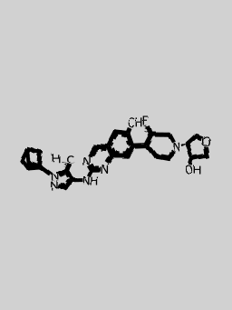 Cc1cc2cnc(Nc3cnn(C45CCC(C4)C5)c3C)nc2cc1C1CCN([C@@H]2COCC2O)CC1F